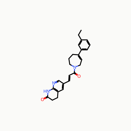 CCc1cccc(C2=CCN(C(=O)/C=C/c3cnc4c(c3)CCC(=O)N4)CCC2)c1